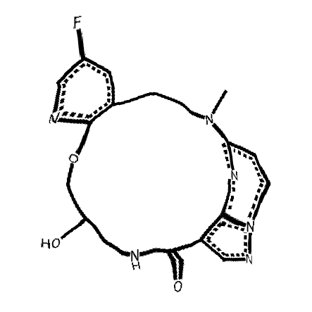 CN1CCc2cc(F)cnc2OCC(O)CNC(=O)c2cnn3ccc1nc23